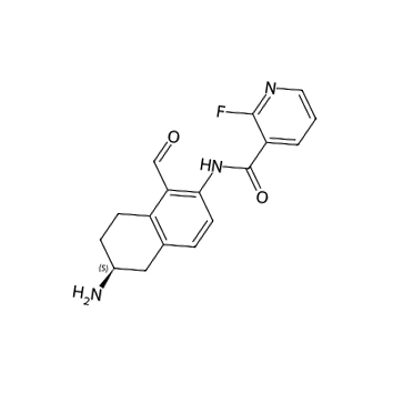 N[C@H]1CCc2c(ccc(NC(=O)c3cccnc3F)c2C=O)C1